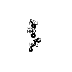 O=C(Nc1ccc(-n2cc(C(=O)NCCN3CCCC3)c3ccncc32)cc1)Nc1ccc(Cl)c(C(F)(F)F)c1